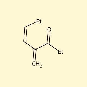 C=C(/C=C\CC)C(=O)CC